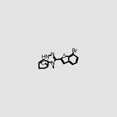 CN1C(c2cc3cccc(Br)c3s2)=NN[C@]12CC1CCC2CC1